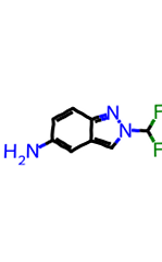 Nc1ccc2nn(C(F)F)cc2c1